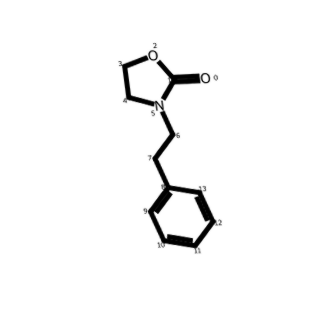 O=C1OCCN1CCc1ccccc1